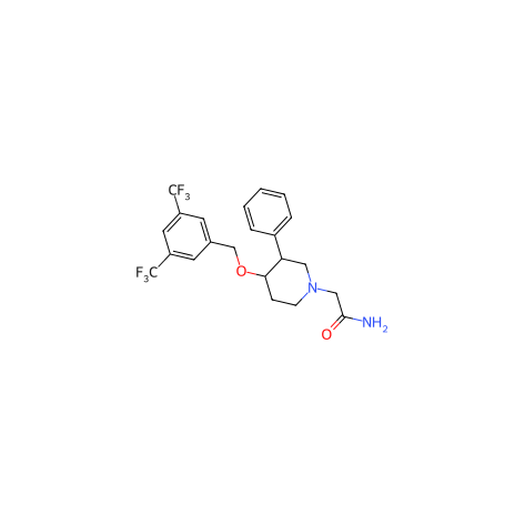 NC(=O)CN1CCC(OCc2cc(C(F)(F)F)cc(C(F)(F)F)c2)C(c2ccccc2)C1